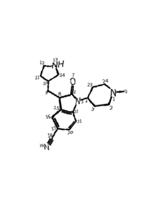 CN1CCC(N2C(=O)C(CC3CCNC3)c3cc(C#N)ccc32)CC1